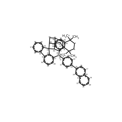 CC1(C)CCC(C)(C)c2c(N(c3ccc(-c4ccc5ccccc5c4)cc3)c3cccc4c3C3(c5ccccc5-4)C4CC5CC6CC3C64C5)cccc21